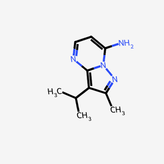 Cc1nn2c(N)ccnc2c1C(C)C